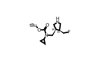 CC(C)(C)OC(=O)N(C[C@H]1CNC[C@H]1CF)C1CC1